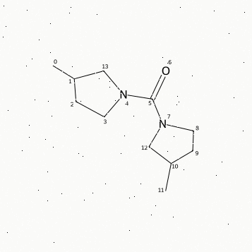 CC1CCN(C(=O)N2CCC(C)C2)C1